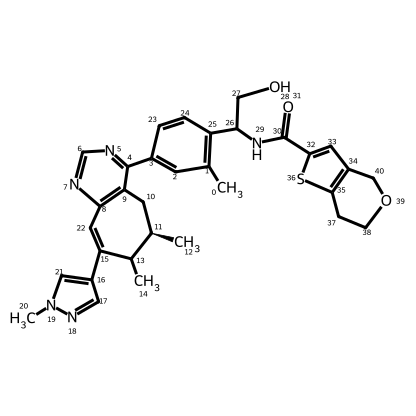 Cc1cc(-c2ncnc3c2C[C@@H](C)C(C)C(c2cnn(C)c2)=C3)ccc1C(CO)NC(=O)c1cc2c(s1)CCOC2